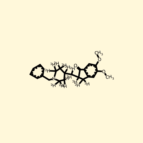 [2H]C1([2H])c2cc(OC)c(OC)cc2C(=O)C1([2H])C([2H])([2H])C1([2H])C([2H])([2H])C([2H])([2H])N(Cc2ccccc2)C([2H])([2H])C1([2H])[2H]